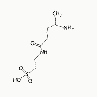 CC(N)CCC(=O)NCCS(=O)(=O)O